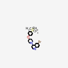 CS(C)(c1ccc(OC2CCN(c3ccnc4ccc(Br)cc34)CC2)cc1)C(F)(F)F